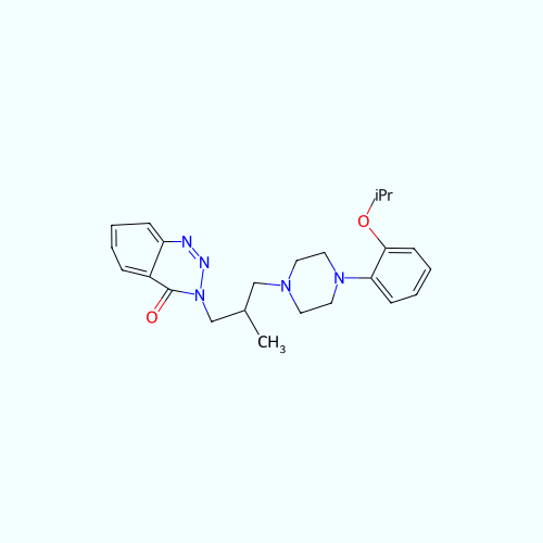 CC(CN1CCN(c2ccccc2OC(C)C)CC1)Cn1nnc2ccccc2c1=O